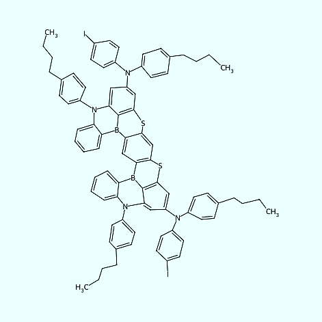 CCCCc1ccc(N(c2ccc(I)cc2)c2cc3c4c(c2)N(c2ccc(CCCC)cc2)c2ccccc2B4c2cc4c(cc2S3)Sc2cc(N(c3ccc(I)cc3)c3ccc(CCCC)cc3)cc3c2B4c2ccccc2N3c2ccc(CCCC)cc2)cc1